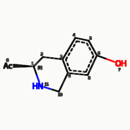 CC(=O)[C@H]1Cc2ccc(O)cc2CN1